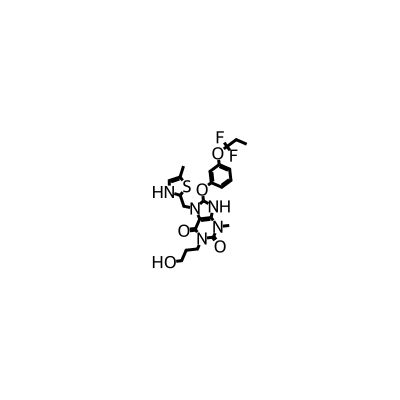 CCC(F)(F)Oc1cccc(OC2Nc3c(c(=O)n(CCCO)c(=O)n3C)N2CC2NC=C(C)S2)c1